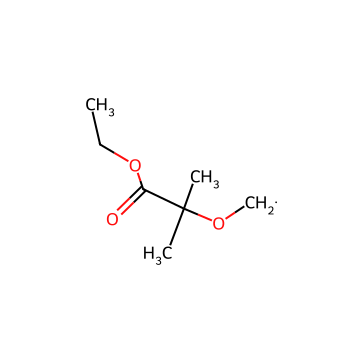 [CH2]OC(C)(C)C(=O)OCC